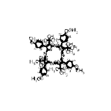 COc1ccc(C2=C(C(C)(C)C)c3nc2nc2[nH]c(nc4nc(nc5[nH]c(n3)c(-c3ccc(OC)cc3)c5C(C)(C)C)C(c3ccc(OC)cc3)=C4C(C)(C)C)c(-c3ccc(OC)cc3)c2C(C)(C)C)cc1